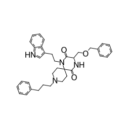 O=C1C(COCc2ccccc2)NC(=O)C2(CCN(CCCc3ccccc3)CC2)N1CCc1c[nH]c2ccccc12